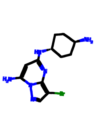 Nc1cc(N[C@H]2CC[C@H](N)CC2)nc2c(Br)cnn12